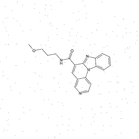 COCCCNC(=O)c1cc2cnccc2n2c1nc1ccccc12